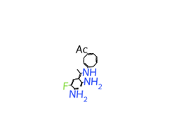 C=C(N)C(/C=C(/F)C(=C)N)=C(/C)N/C1=C/C/C(C(C)=O)=C\C=C/C1